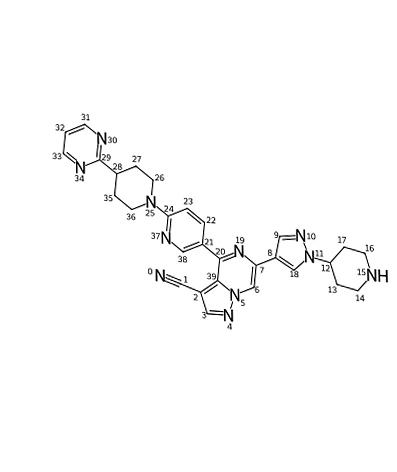 N#Cc1cnn2cc(-c3cnn(C4CCNCC4)c3)nc(-c3ccc(N4CCC(c5ncccn5)CC4)nc3)c12